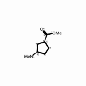 CN[C@@H]1CC[C@H](C(=O)OC)C1